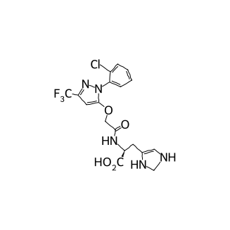 O=C(COc1cc(C(F)(F)F)nn1-c1ccccc1Cl)N[C@@H](CC1=CNCN1)C(=O)O